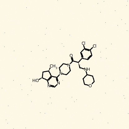 C[C@@H]1C[C@H](O)c2ncnc(N3CCN(C(=O)[C@H](CNC4CCOCC4)c4ccc(Cl)c(Cl)c4)CC3)c21